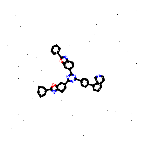 c1ccc(-c2nc3ccc(-c4nc(-c5ccc(-c6cccc7ccncc67)cc5)nc(-c5ccc6nc(-c7ccccc7)oc6c5)n4)cc3o2)cc1